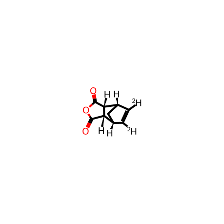 [2H]C1=C([2H])[C@@H]2C[C@H]1[C@@H]1C(=O)OC(=O)[C@@H]12